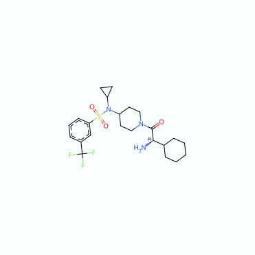 N[C@@H](C(=O)N1CCC(N(C2CC2)S(=O)(=O)c2cccc(C(F)(F)F)c2)CC1)C1CCCCC1